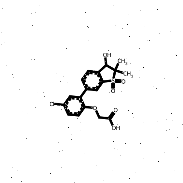 CC1(C)C(O)c2ccc(-c3cc(Cl)ccc3OCC(=O)O)cc2S1(=O)=O